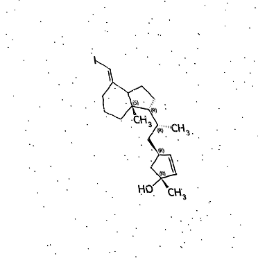 C[C@H](C[C@H]1C=C[C@](C)(O)C1)[C@H]1CCC2C(=CI)CCC[C@]21C